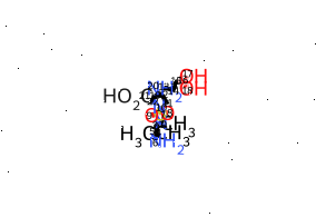 CN(CC(C)(C)N)S(=O)(=O)N1C[C@H](CCCB(O)O)[C@](N)(C(=O)O)C1